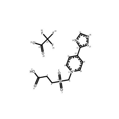 O=C(O)CCS(=O)(=O)C[n+]1ccc(-c2ncns2)cc1.O=C([O-])C(F)(F)F